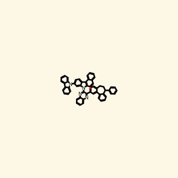 c1ccc(C2CCc3ccc(-c4nc5ccccc5nc4-n4c5cc(-n6c7ccccc7c7ccccc76)ccc5c5c6ccccc6ccc54)cc3-c3ccccc32)cc1